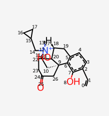 C=Cc1ccc2c(c1O)[C@]13CC[N+](C)(CC4CC4)[C@H](C2)[C@]1(O)CCC(=O)C3